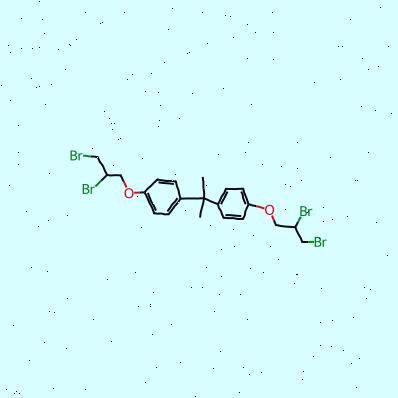 CC(C)(c1ccc(OCC(Br)CBr)cc1)c1ccc(OCC(Br)CBr)cc1